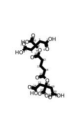 O=C(O)CC(CC(=O)O)(OC(=O)CCCC(=O)OC(CC(=O)O)(CC(=O)O)C(=O)O)C(=O)O